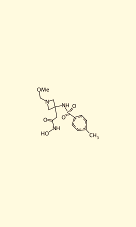 COCN1CC(CC(=O)NO)(NS(=O)(=O)c2ccc(C)cc2)C1